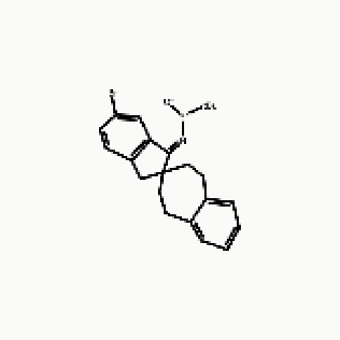 CC(C)(C)[S+]([O-])N=C1c2cc(Br)ccc2CC12CCc1ccccc1CC2